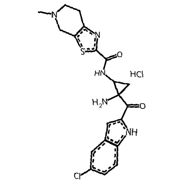 CN1CCc2nc(C(=O)NC3CC3(N)C(=O)c3cc4cc(Cl)ccc4[nH]3)sc2C1.Cl